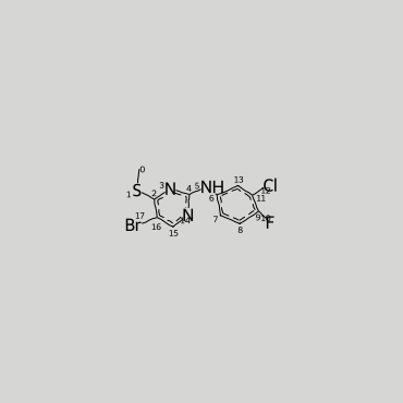 CSc1nc(Nc2ccc(F)c(Cl)c2)ncc1Br